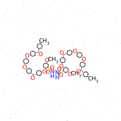 COc1ccc(Oc2ccc(C(=O)c3ccc(Oc4ccc(Oc5ccc(C(=O)c6ccc(C)cc6)cc5)cc4)cc3)cc2)c(S(=O)(=O)NCNS(=O)(=O)c2cc(OC)ccc2Oc2ccc(C(=O)c3ccc(Oc4ccc(Oc5ccc(C(=O)c6ccc(C)cc6)cc5)cc4)cc3)cc2)c1